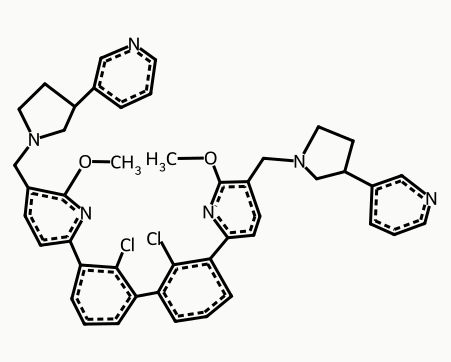 COc1nc(-c2cccc(-c3cccc(-c4ccc(CN5CCC(c6cccnc6)C5)c(OC)n4)c3Cl)c2Cl)ccc1CN1CCC(c2cccnc2)C1